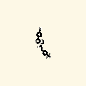 N#Cc1ccc(-c2cncc3c2OCCN3C(=O)CCc2ccc(C(F)(F)F)cc2)cc1